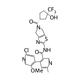 COc1cnc(Cl)cc1-c1cc(C)ncc1C(=O)Nc1nc2c(s1)CN(C(=O)[C@@H]1CC[C@](O)(C(F)(F)F)C1)C2